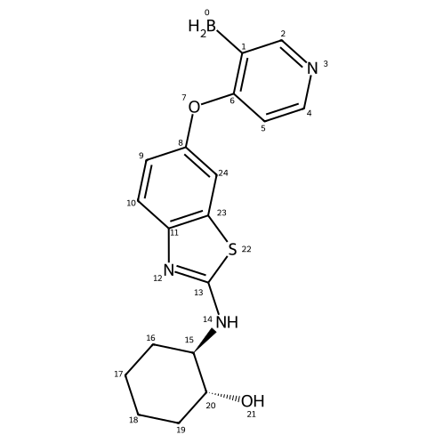 Bc1cnccc1Oc1ccc2nc(N[C@@H]3CCCC[C@H]3O)sc2c1